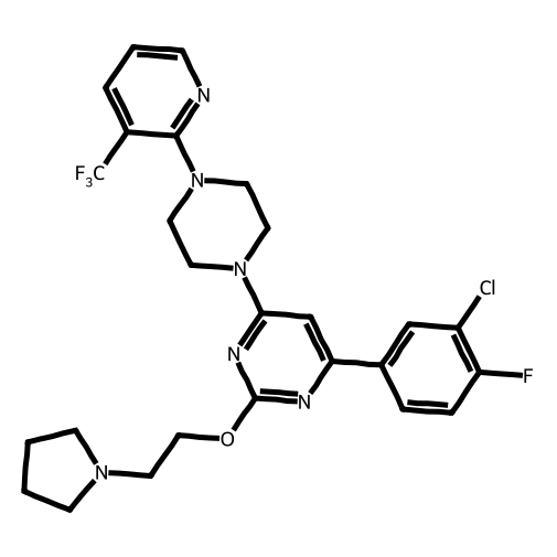 Fc1ccc(-c2cc(N3CCN(c4ncccc4C(F)(F)F)CC3)nc(OCCN3CCCC3)n2)cc1Cl